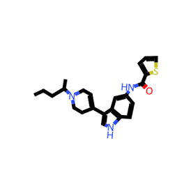 CCCC(C)N1CC=C(c2c[nH]c3ccc(NC(=O)c4cccs4)cc23)CC1